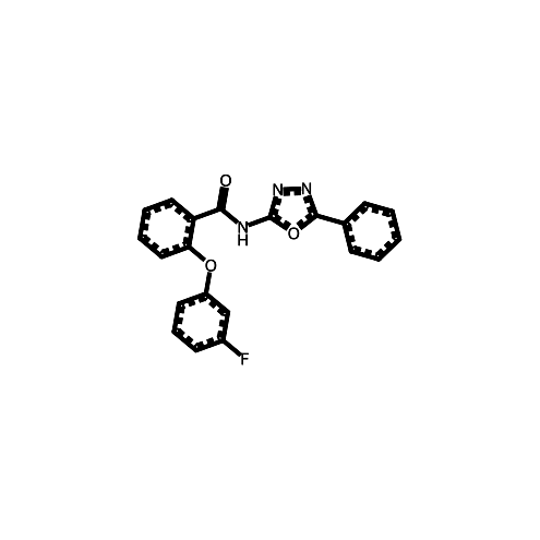 O=C(Nc1nnc(-c2ccccc2)o1)c1ccccc1Oc1cccc(F)c1